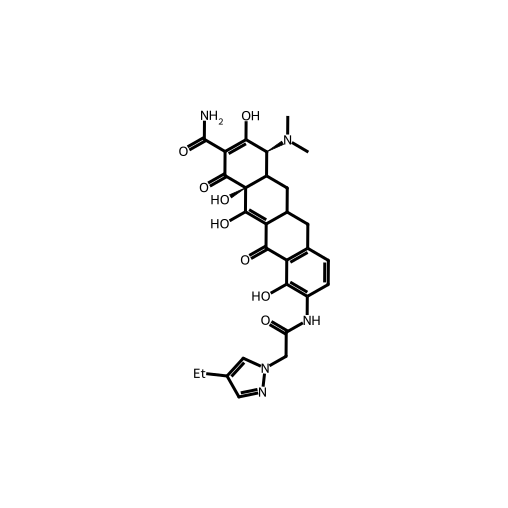 CCc1cnn(CC(=O)Nc2ccc3c(c2O)C(=O)C2=C(O)[C@]4(O)C(=O)C(C(N)=O)=C(O)[C@@H](N(C)C)C4CC2C3)c1